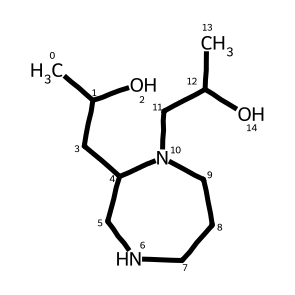 CC(O)CC1CNCCCN1CC(C)O